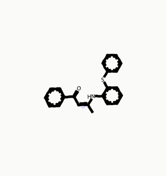 C/C(=C/C(=O)c1ccccc1)Nc1ccccc1Sc1ccccc1